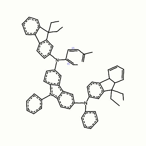 C=C(C)/C=C\C(=C/C)N(c1ccc2c(c1)C(CC)(CC)c1ccccc1-2)c1ccc2c(c1)c1cc(N(c3ccccc3)c3ccc4c(c3)C(CC)(CC)C3C=CC=CC43)ccc1n2-c1ccccc1